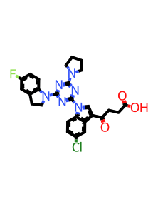 O=C(O)CCC(=O)c1cn(-c2nc(N3CCCC3)nc(N3CCc4cc(F)ccc43)n2)c2ccc(Cl)cc12